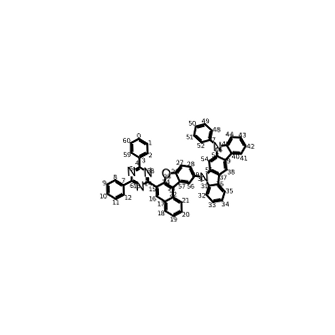 c1ccc(-c2nc(-c3ccccc3)nc(-c3cc4ccccc4c4c3oc3ccc(-n5c6ccccc6c6cc7c8ccccc8n(-c8ccccc8)c7cc65)cc34)n2)cc1